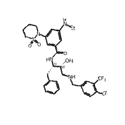 CCNc1cc(C(=O)N[C@@H](Cc2ccccc2)[C@H](O)CNCc2ccc(Cl)c(C(F)(F)F)c2)cc(N2CCCCS2(=O)=O)c1